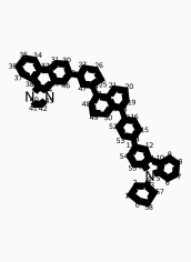 c1ccc(-n2c3ccccc3c3cc(-c4ccc(-c5cccc6c(-c7cccc(-c8ccc9c%10ccccc%10c%10nccnc%10c9c8)c7)cccc56)cc4)ccc32)cc1